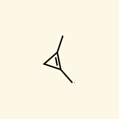 [CH2]C1=C(C)C1